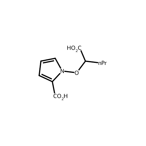 CCCC(On1cccc1C(=O)O)C(=O)O